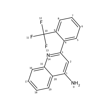 Nc1cc(-c2ccccc2C(F)(F)F)nc2ccccc12